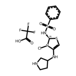 O=C(O)C(F)(F)F.O=S(=O)(N[C@H]1SC=C(NC2CCNC2)N1Cl)c1ccccc1